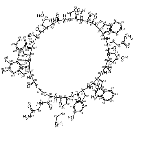 CCCC[C@H]1C(=O)N2C[C@H](O)C[C@@H]2C(=O)N[C@@H](CC(=O)O)C(=O)N[C@@H](C(C)C)C(=O)N(C)[C@@H](Cc2ccccc2)C(=O)N[C@@H](CCC(N)=O)C(=O)N2C[C@H](O)C[C@H]2C(=O)N[C@@H](Cc2c[nH]c3ccccc23)C(=O)N[C@@H](Cc2ccc(O)cc2)C(=O)N[C@@H](CCCCN)C(=O)N[C@H](C(=O)NCC(N)=O)CSCC(=O)N[C@@H](Cc2cc(F)c(F)c(F)c2)C(=O)N(C)[C@@H](Cc2ccccc2)C(=O)N1C